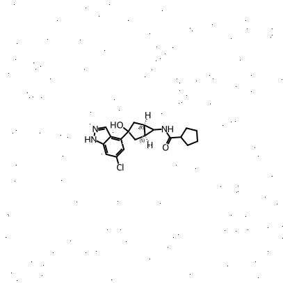 O=C(NC1[C@H]2CC(O)(c3cc(Cl)cc4[nH]ncc34)C[C@@H]12)C1CCCC1